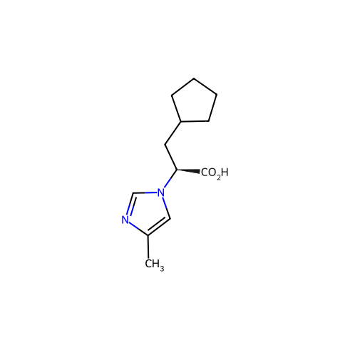 Cc1cn([C@@H](CC2CCCC2)C(=O)O)cn1